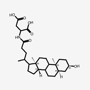 CC(CCC(=O)NC(CC(=O)O)C(=O)O)C1CC[C@H]2C3CC[C@@H]4C[C@H](O)CC[C@]4(C)C3CC[C@]12C